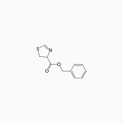 O=C(OCc1ccccc1)C1CSC=N1